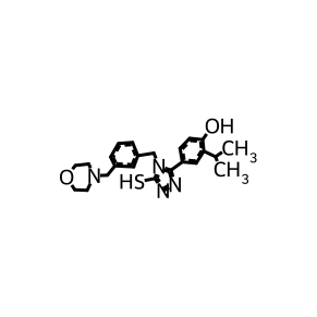 CC(C)c1cc(-c2nnc(S)n2Cc2cccc(CN3CCOCC3)c2)ccc1O